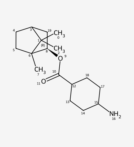 CC1(C)C2CCC1(C)[C@H](OC(=O)C1CCC(N)CC1)C2